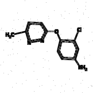 Cc1ccc(Oc2ccc(N)cc2Cl)nn1